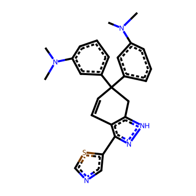 CN(C)c1cccc(C2(c3cccc(N(C)C)c3)C=Cc3c(-c4cncs4)n[nH]c3C2)c1